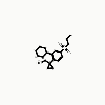 CCCS(=O)(=O)c1ccc(C2(CO)CC2)c(C2CCCCC2)c1